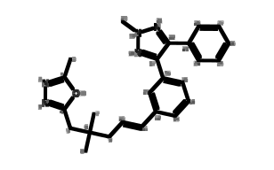 Cc1nnc(CC(C)(C)C/C=C/c2cccc(-c3nn(C)nc3-c3ccccc3)c2)o1